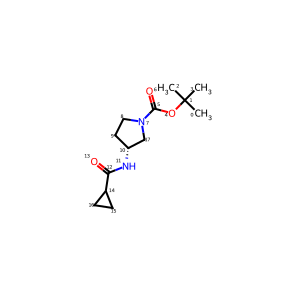 CC(C)(C)OC(=O)N1CC[C@@H](NC(=O)C2CC2)C1